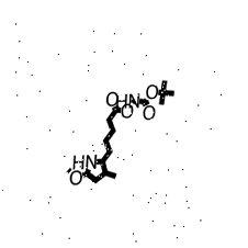 COC1CC(C)C(CCCCC(=O)ONC(=O)OC(C)(C)C)N1